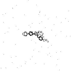 Cc1ccc(CC(C)(CCc2ccc(N3CCOCC3)cc2)N(C)C)cc1